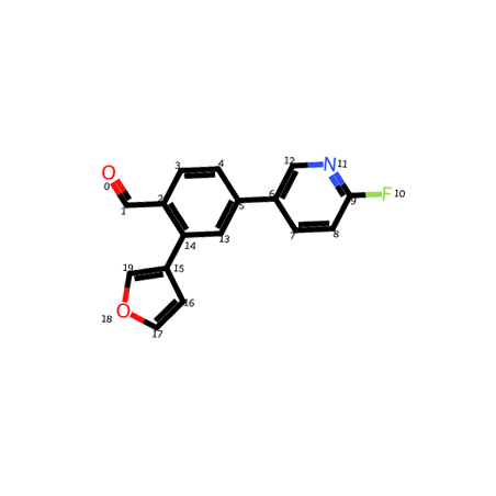 O=Cc1ccc(-c2ccc(F)nc2)cc1-c1ccoc1